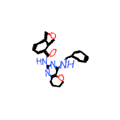 O=C(Nc1nc2c(c(NCc3ccccc3)n1)OCCCC2)c1cccc2cocc12